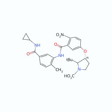 Cc1ccc(C(=O)NC2CC2)cc1NC(=O)c1cc(O[C@@H]2CCN(C(=O)O)C2C(C)(C)C)ccc1[N+](=O)[O-]